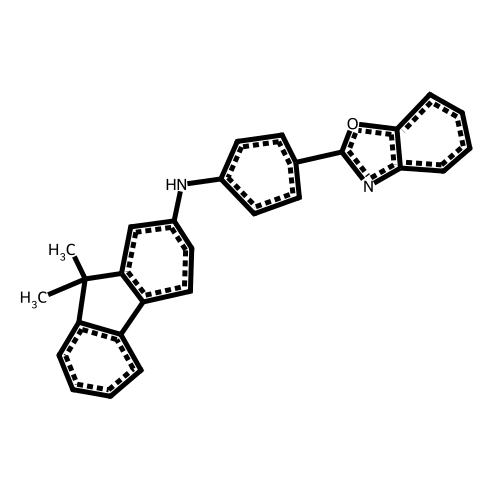 CC1(C)c2ccccc2-c2ccc(Nc3ccc(-c4nc5ccccc5o4)cc3)cc21